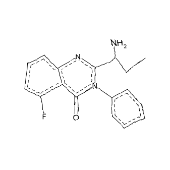 CCC(N)c1nc2cccc(F)c2c(=O)n1-c1ccccc1